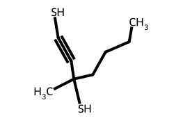 CCCCC(C)(S)C#CS